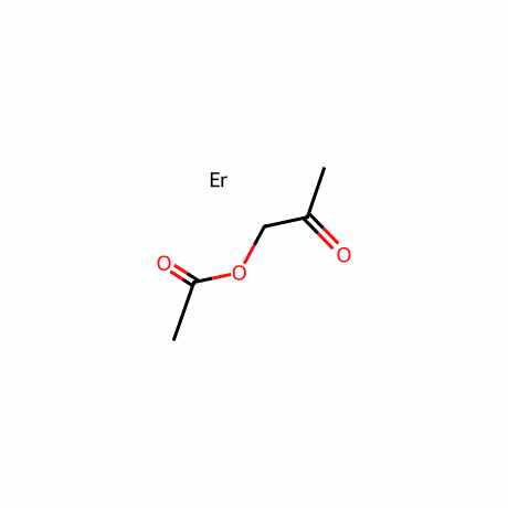 CC(=O)COC(C)=O.[Er]